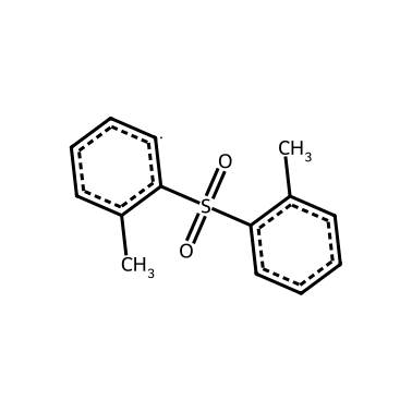 Cc1ccc[c]c1S(=O)(=O)c1ccccc1C